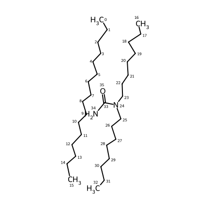 CCCCCCCCCCCCCCCC.CCCCCCCCN(CCCCCCCC)C(N)=O